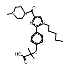 CCCCCn1cc(C(=O)N2CCN(C)CC2)nc1-c1ccc(SC(C)(C)C(=O)O)cc1